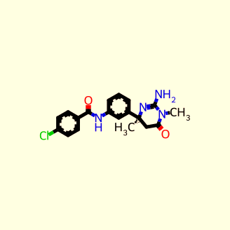 CN1C(=O)C[C@@](C)(c2cccc(NC(=O)c3ccc(Cl)cc3)c2)N=C1N